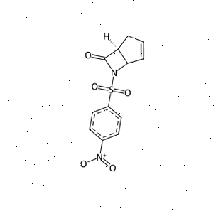 O=C1[C@H]2CC=CC2N1S(=O)(=O)c1ccc([N+](=O)[O-])cc1